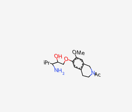 COc1cc2c(cc1OCC(O)C(N)C(C)C)CCN(C(C)=O)C2